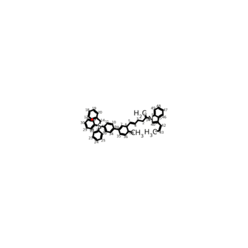 C=C(CC/C=C/C1C=C(c2ccc(S(Cc3ccccc3)(c3ccccc3)c3ccccc3)cc2)C=CC1C)n1cc(/C=C\C)c2ccccc21